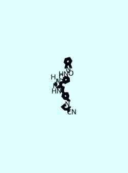 Cc1c(NC(=O)N2Cc3ccccc3C2)cccc1-c1ncnc2[nH]c(-c3ccc(CN4CCCC(C#N)C4)cc3)cc12